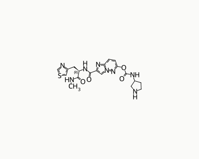 CNC(=O)[C@@H](Cc1cscn1)NC(=O)c1cn2nc(OC(=O)NC3CCNC3)ccc2n1